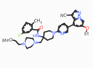 CCOc1cc(-c2ccc(N3CCC(CN4CCN(CCOC)CC4)(NC(=O)c4cc(F)ccc4C)CC3)nc2)c2c(C#N)cnn2c1